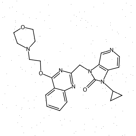 O=c1n(Cc2nc(OCCN3CCOCC3)c3ccccc3n2)c2cnccc2n1C1CC1